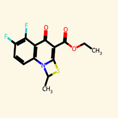 CCOC(=O)c1c2n(c3ccc(F)c(F)c3c1=O)C(C)S2